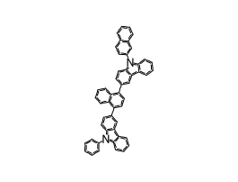 c1ccc(-n2c3ccccc3c3cc(-c4ccc(-c5ccc6c(c5)c5ccccc5n6-c5ccc6ccccc6c5)c5ccccc45)ccc32)cc1